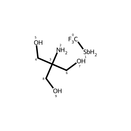 F[C](F)(F)[SbH2].NC(CO)(CO)CO